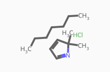 CC1(C)C=CC=N1.CCCCCCC.Cl